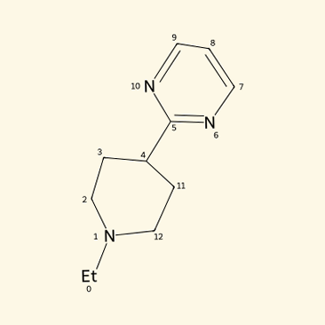 CCN1CCC(c2ncccn2)CC1